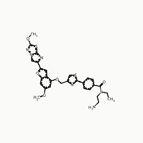 CCN(CCN)C(=O)c1ccc(-c2nc(COc3cc(OC)cc4oc(-c5cn6nc(OC)sc6n5)cc34)cs2)cc1